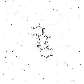 C1=C2SC3c4ccccc4SC3C2=CCC1